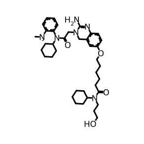 CN(C)c1ccccc1N(C(=O)CN1Cc2cc(OCCCCCC(=O)N(CCCO)C3CCCCC3)ccc2N=C1N)C1CCCCC1